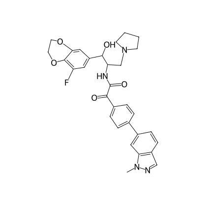 Cn1ncc2ccc(-c3ccc(C(=O)C(=O)NC(CN4CCCC4)C(O)c4cc(F)c5c(c4)OCCO5)cc3)cc21